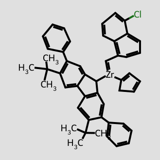 CC(C)(C)c1cc2c(cc1-c1ccccc1)[CH]([Zr](=[CH]c1cccc3c(Cl)cccc13)[C]1=CC=CC1)c1cc(-c3ccccc3)c(C(C)(C)C)cc1-2